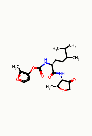 Cc1occc1OC(=O)N[C@@H](CCC(C)C(C)C)C(=O)N[C@@H]1C(=O)CO[C@H]1C